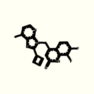 Cc1ccnc2c1nc(C1=CC=C1)n2Cc1cc(=O)[nH]c2c(F)c(F)ccc12